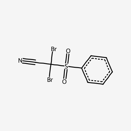 N#CC(Br)(Br)S(=O)(=O)c1ccccc1